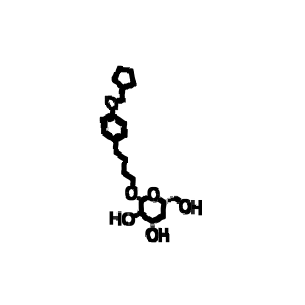 OC[C@@H]1C[C@H](O)[C@@H](O)[C@H](OCCCCc2ccc(OCC3CCCC3)cc2)O1